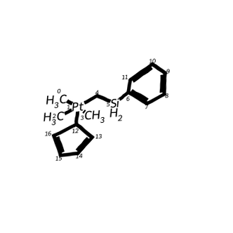 [CH3][Pt]([CH3])([CH3])([CH2][SiH2]c1ccccc1)[CH]1C=CC=C1